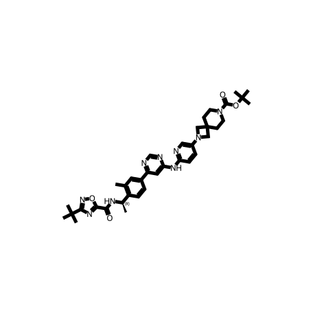 Cc1cc(-c2cc(Nc3ccc(N4CC5(CCN(C(=O)OC(C)(C)C)CC5)C4)cn3)ncn2)ccc1[C@@H](C)NC(=O)c1nc(C(C)(C)C)no1